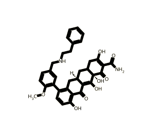 COc1ccc(CNCCc2ccccc2)cc1-c1ccc(O)c2c1C[C@H]1CC3CC(O)=C(C(N)=O)C(=O)[C@@]3(O)C(O)=C1C2=O